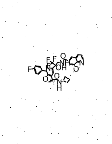 COc1cc(C(=O)NCC(O)(c2cc3c(c(-c4ccc(F)cc4)n2)OC[C@]3(C)C(=O)NC2CCC2)C(F)(F)F)cc2cccnc12